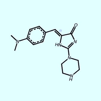 CN(C)c1ccc(/C=C2\NC(N3CCNCC3)=NC2=O)cc1